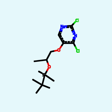 CC(COc1cnc(Cl)nc1Cl)O[Si](C)(C)C(C)(C)C